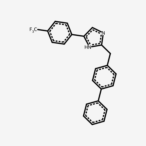 FC(F)(F)c1ccc(-c2cnc(Cc3ccc(-c4ccccc4)cc3)[nH]2)cc1